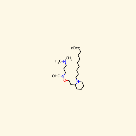 CCCCCCCCCCCCCCCCCCN1CCCCC1CCON(C=O)CCCN(C)C